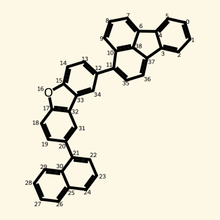 c1ccc2c(c1)-c1cccc3c(-c4ccc5oc6ccc(-c7cccc8ccccc78)cc6c5c4)ccc-2c13